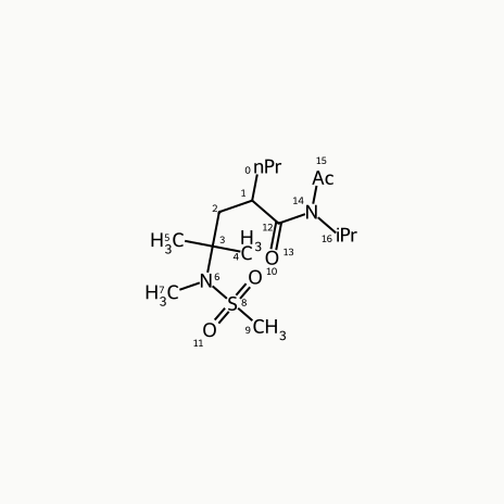 CCCC(CC(C)(C)N(C)S(C)(=O)=O)C(=O)N(C(C)=O)C(C)C